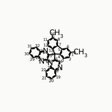 Cc1ccc2c(c1)-c1cc(C)ccc1C2(c1cnc2ccccc2n1)c1cnc2ccccc2n1